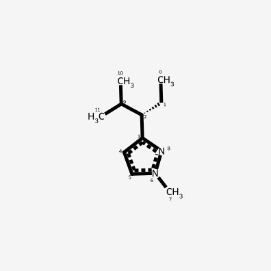 CC[C@H](c1ccn(C)n1)C(C)C